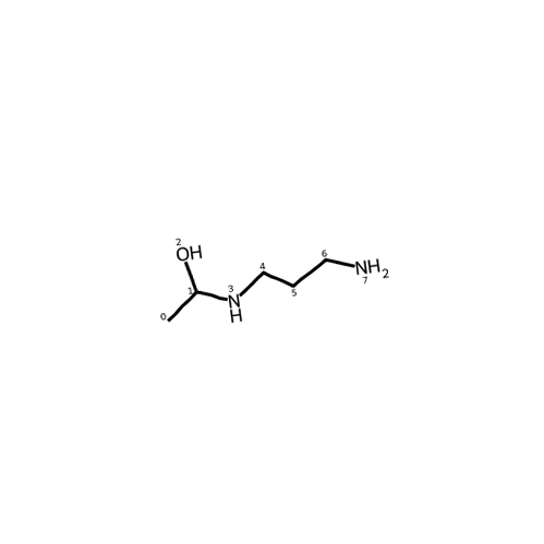 CC(O)NCCCN